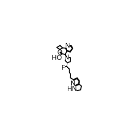 O=C(O)C(c1cccnc1C1CCC1)N1CC[C@@H](C(F)CCCCc2ccc3c(n2)NCCC3)C1